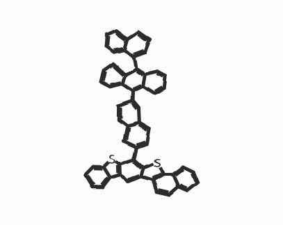 c1ccc2c(-c3c4ccccc4c(-c4ccc5cc(-c6c7sc8ccccc8c7cc7c6sc6c8ccccc8ccc76)ccc5c4)c4ccccc34)cccc2c1